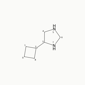 C1C[C](C2CNCN2)C1